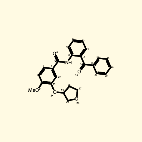 COc1ccc(C(=O)Nc2ccccc2C(=O)c2ccccc2)cc1OC1CCOC1